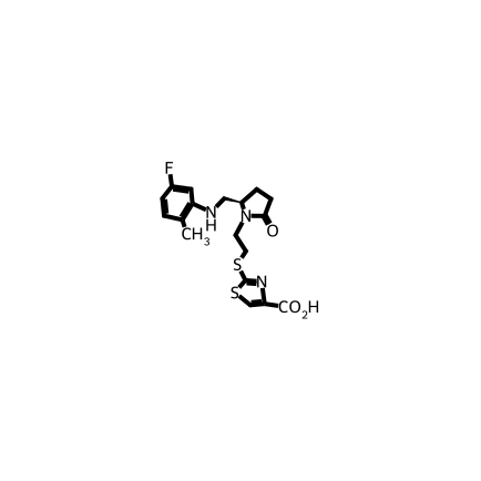 Cc1ccc(F)cc1NC[C@H]1CCC(=O)N1CCSc1nc(C(=O)O)cs1